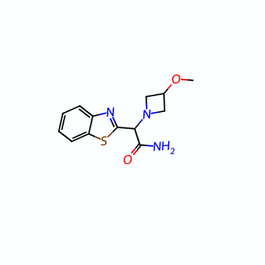 COC1CN(C(C(N)=O)c2nc3ccccc3s2)C1